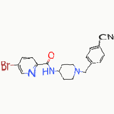 N#Cc1ccc(CN2CCC(NC(=O)c3ccc(Br)cn3)CC2)cc1